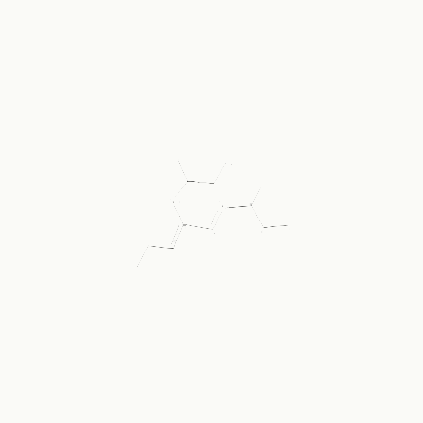 CCC=C(C=NC(C)CC)NC(C)CC